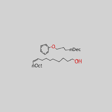 CCCCCCCC/C=C\CCCCCCCCO.CCCCCCCCCCCCCOc1ccccc1